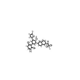 COc1c(-c2ccc3cc(NS(C)(=O)=O)ccc3c2)cc(-n2c(=O)cc[nH]c2=O)cc1-c1ccc(C)o1